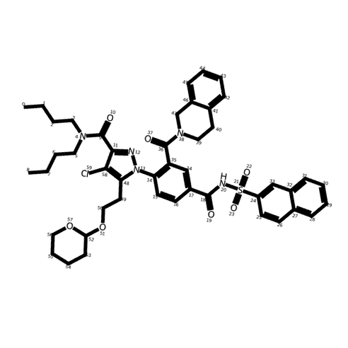 CCCCN(CCCC)C(=O)c1nn(-c2ccc(C(=O)NS(=O)(=O)c3ccc4ccccc4c3)cc2C(=O)N2CCc3ccccc3C2)c(CCOC2CCCCO2)c1Cl